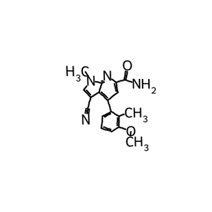 COc1cccc(-c2cc(C(N)=O)nc3c2c(C#N)cn3C)c1C